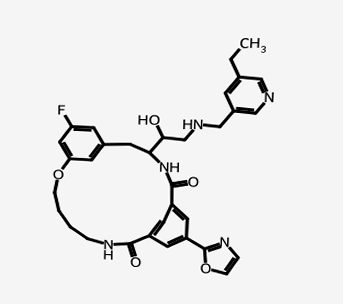 CCc1cncc(CNCC(O)C2Cc3cc(F)cc(c3)OCCCCNC(=O)c3cc(cc(-c4ncco4)c3)C(=O)N2)c1